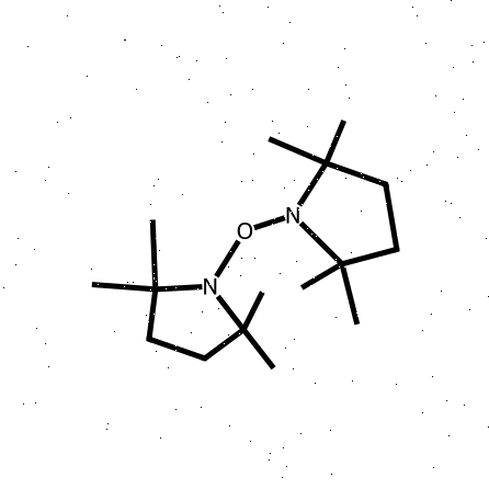 CC1(C)CCC(C)(C)N1ON1C(C)(C)CCC1(C)C